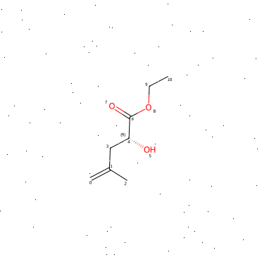 C=C(C)C[C@@H](O)C(=O)OCC